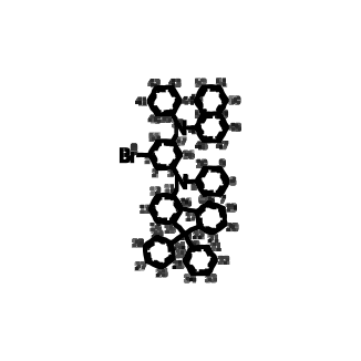 Brc1cc(N(c2ccccc2)c2cccc3c2-c2ccccc2C3(c2ccccc2)c2ccccc2)cc(N(c2ccccc2)c2cccc3ccccc23)c1